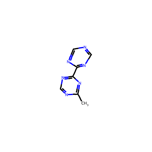 Cc1ncnc(-c2ncncn2)n1